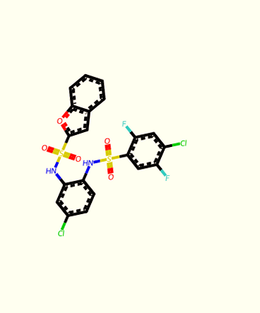 O=S(=O)(Nc1cc(Cl)ccc1NS(=O)(=O)c1cc(F)c(Cl)cc1F)c1cc2ccccc2o1